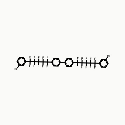 FC(F)(c1ccc(-c2ccc(C(F)(F)C(F)(F)C(F)(F)C(F)(F)C(F)(F)c3cccc(Br)c3)cc2)cc1)C(F)(F)C(F)(F)C(F)(F)C(F)(F)c1cccc(Br)c1